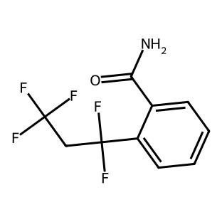 NC(=O)c1ccccc1C(F)(F)CC(F)(F)F